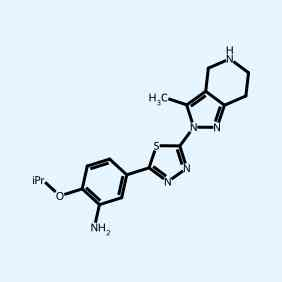 Cc1c2c(nn1-c1nnc(-c3ccc(OC(C)C)c(N)c3)s1)CCNC2